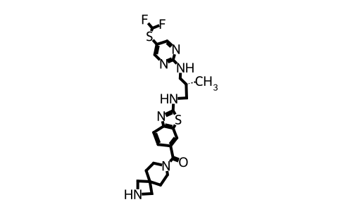 C[C@@H](CNc1ncc(SC(F)F)cn1)CNc1nc2ccc(C(=O)N3CCC4(CC3)CNC4)cc2s1